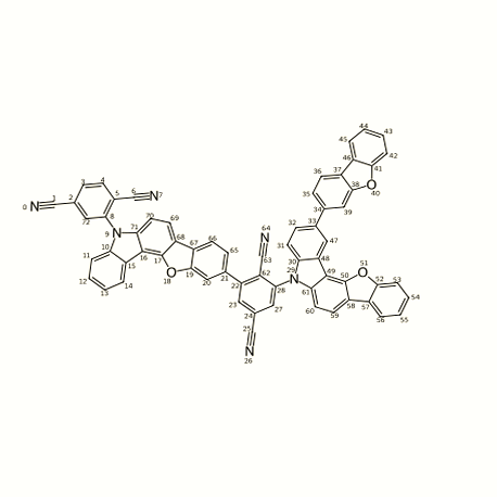 N#Cc1ccc(C#N)c(-n2c3ccccc3c3c4oc5cc(-c6cc(C#N)cc(-n7c8ccc(-c9ccc%10c(c9)oc9ccccc9%10)cc8c8c9oc%10ccccc%10c9ccc87)c6C#N)ccc5c4ccc32)c1